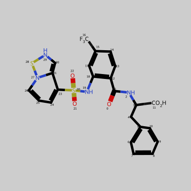 O=C(NC(Cc1ccccc1)C(=O)O)c1ccc(C(F)(F)F)cc1NS(=O)(=O)C1=CC=CN2SNC=C12